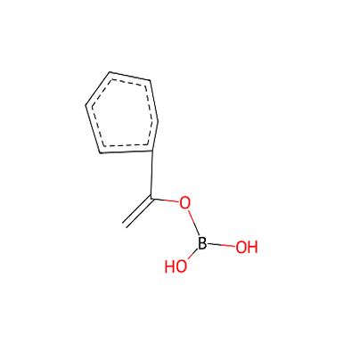 C=C(OB(O)O)c1ccccc1